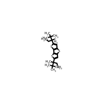 CCC(C)(c1cc2sc3cc(C(C)(CC)C(C)(C)C)sc3c2s1)C(C)(C)C